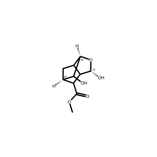 COC(=O)C1C2C3C[C@H]1C(O)[C@@H]3O[C@@H]2O